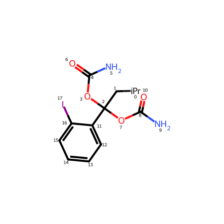 CC(C)CC(OC(N)=O)(OC(N)=O)c1ccccc1I